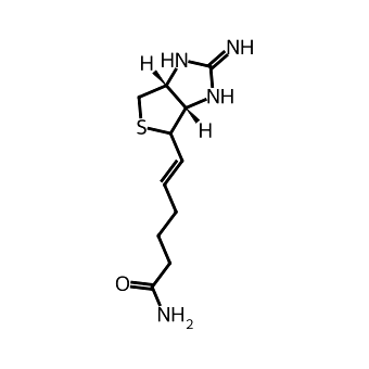 N=C1N[C@H]2CSC(/C=C/CCCC(N)=O)[C@H]2N1